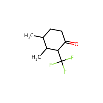 CC1CCC(=O)C(C(F)(F)F)C1C